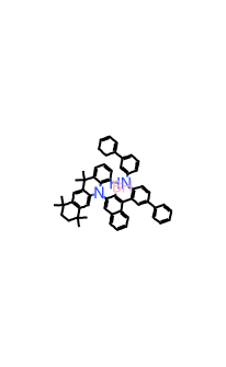 CC1(C)CCC(C)(C)c2cc3c(cc21)N1c2cc4ccccc4c(-c4cc(-c5ccccc5)ccc4Nc4cccc(C5=CC=CCC5)c4)c2Bc2cccc(c21)C3(C)C